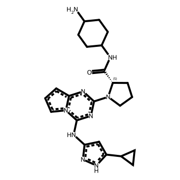 NC1CCC(NC(=O)[C@@H]2CCCN2c2nc(Nc3cc(C4CC4)[nH]n3)n3cccc3n2)CC1